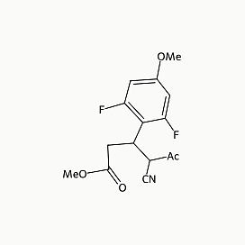 COC(=O)CC(c1c(F)cc(OC)cc1F)C(C#N)C(C)=O